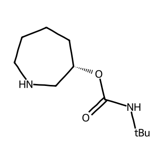 CC(C)(C)NC(=O)O[C@H]1CCCCNC1